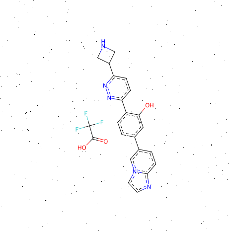 O=C(O)C(F)(F)F.Oc1cc(-c2ccc3nccn3c2)ccc1-c1ccc(C2CNC2)nn1